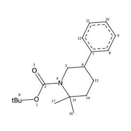 CC(C)(C)OC(=O)N1CC(c2ccccc2)CCC1(C)C